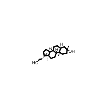 C[C@@]1(O)CC[C@@]2(C)[C@@H](CC[C@@H]3[C@@H]4CC[C@@H](CCO)[C@]4(C)CC[C@@H]32)C1